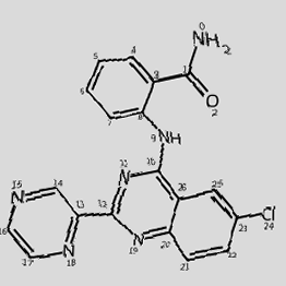 NC(=O)c1ccccc1Nc1nc(-c2cnccn2)nc2ccc(Cl)cc12